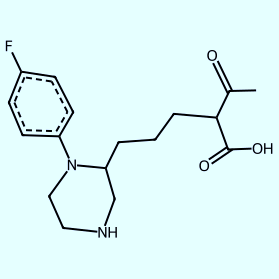 CC(=O)C(CCCC1CNCCN1c1ccc(F)cc1)C(=O)O